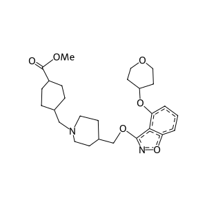 COC(=O)C1CCC(CN2CCC(COc3noc4cccc(OC5CCOCC5)c34)CC2)CC1